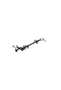 CCCCCNC(=O)CCCCCCCCCCCC(=O)NCCC(=O)Oc1cccc2c1CC[C@H](N(CCC)CCc1cccs1)C2